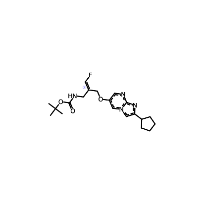 CC(C)(C)OC(=O)NC/C(=C/F)COc1cnc2nc(C3CCCC3)cn2c1